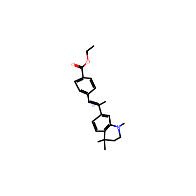 CCOC(=O)c1ccc(/C=C(\C)c2ccc3c(c2)N(C)CCC3(C)C)cc1